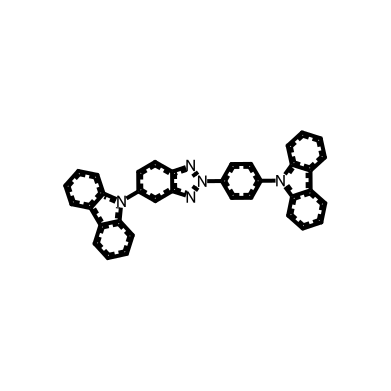 c1ccc2c(c1)c1ccccc1n2-c1ccc(-n2nc3ccc(-n4c5ccccc5c5ccccc54)cc3n2)cc1